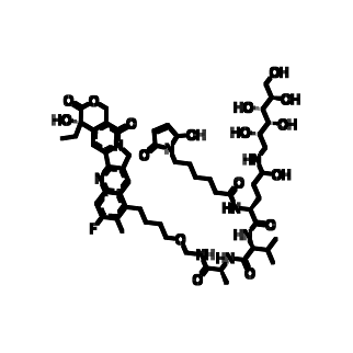 CC[C@@]1(O)C(=O)OCc2c1cc1n(c2=O)Cc2cc3c(CCCCOCNC(=O)[C@H](C)NC(=O)[C@@H](NC(=O)[C@H](CCC(O)NC[C@H](O)[C@@H](O)[C@H](O)[C@H](O)CO)NC(=O)CCCCCN4C(=O)C=CC4O)C(C)C)c(C)c(F)cc3nc2-1